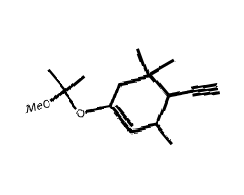 C#CC1C(C)C=C(OC(C)(C)OC)CC1(C)C